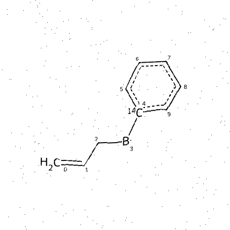 C=CC[B][14c]1ccccc1